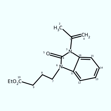 C=C(C)n1c(=O)n(CCCC(=O)OCC)c2ccccc21